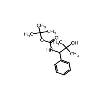 CC(C)(C)OC(=O)NC(c1ccccc1)C(C)(C)O